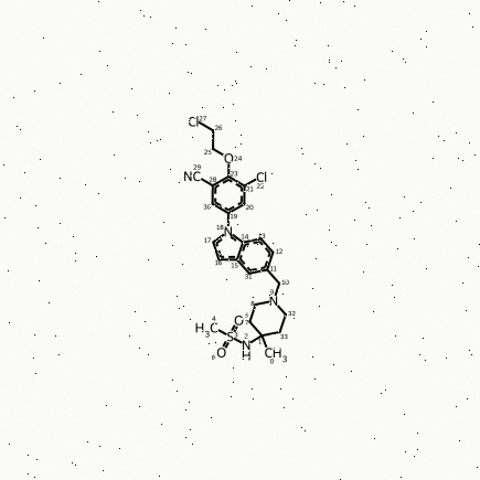 CC1(NS(C)(=O)=O)CCN(Cc2ccc3c(ccn3-c3cc(Cl)c(OCCCl)c(C#N)c3)c2)CC1